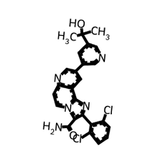 CC(C)(O)c1cncc(-c2cnc3ccn4c(C(N)=O)c(-c5c(Cl)cccc5Cl)nc4c3c2)c1